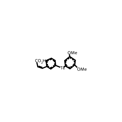 COc1cc(OC)cc([Te]c2cccc(/C=C\C(=O)O)c2)c1